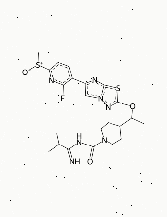 CC(C)C(=N)NC(=O)N1CCC(C(C)Oc2nn3cc(-c4ccc([S+](C)[O-])nc4F)nc3s2)CC1